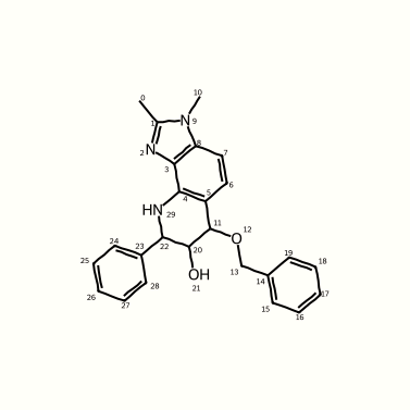 Cc1nc2c3c(ccc2n1C)C(OCc1ccccc1)C(O)C(c1ccccc1)N3